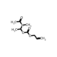 C=CCOC(=O)OC(C)N(C)C(C)=O